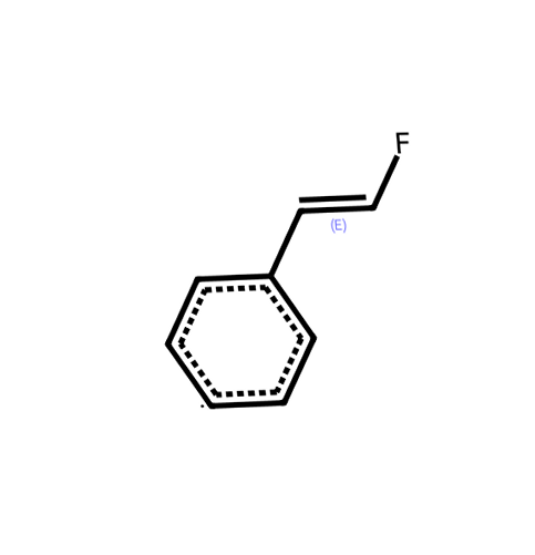 F/C=C/c1cc[c]cc1